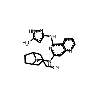 Cc1cc(Nc2nc(NC3CC4CCC(C3)N4CCC#N)cc3ncccc23)n[nH]1